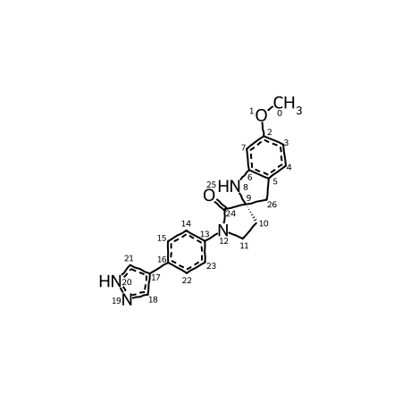 COc1ccc2c(c1)N[C@@]1(CCN(c3ccc(-c4cn[nH]c4)cc3)C1=O)C2